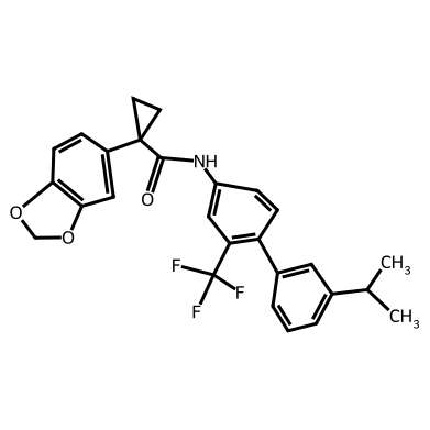 CC(C)c1cccc(-c2ccc(NC(=O)C3(c4ccc5c(c4)OCO5)CC3)cc2C(F)(F)F)c1